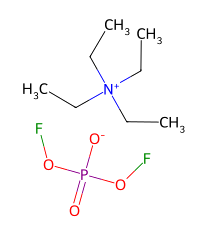 CC[N+](CC)(CC)CC.O=P([O-])(OF)OF